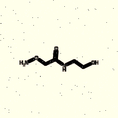 NOCC(=O)NCCO